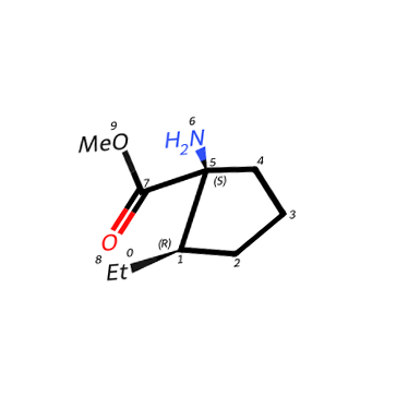 CC[C@@H]1CCC[C@@]1(N)C(=O)OC